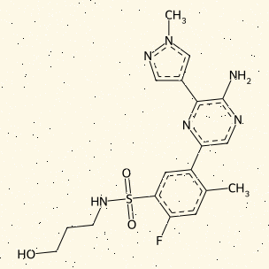 Cc1cc(F)c(S(=O)(=O)NCCCO)cc1-c1cnc(N)c(-c2cnn(C)c2)n1